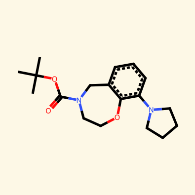 CC(C)(C)OC(=O)N1CCOc2c(cccc2N2CCCC2)C1